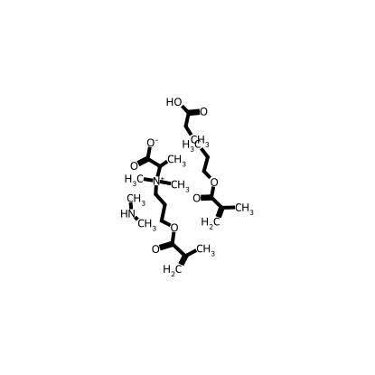 C=C(C)C(=O)OCCC.C=C(C)C(=O)OCCC[N+](C)(C)C(C)C(=O)[O-].CCC(=O)O.CNC